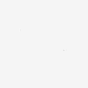 CCCSCCC(C)CCC